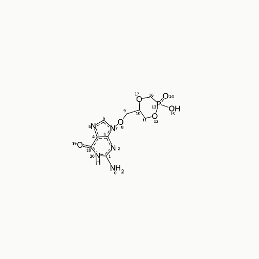 Nc1nc2c(ncn2OCC2COP(=O)(O)CO2)c(=O)[nH]1